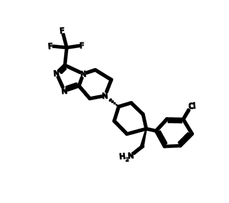 NC[C@]1(c2cccc(Cl)c2)CC[C@@H](N2CCn3c(nnc3C(F)(F)F)C2)CC1